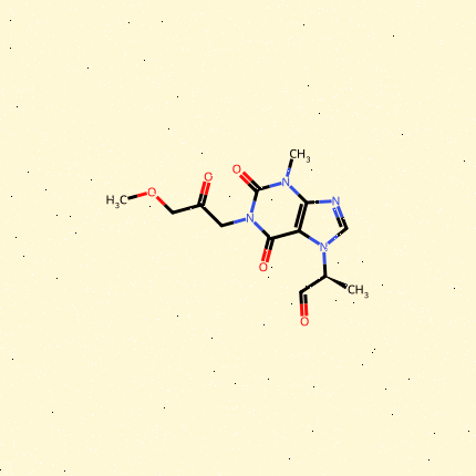 COCC(=O)Cn1c(=O)c2c(ncn2[C@@H](C)C=O)n(C)c1=O